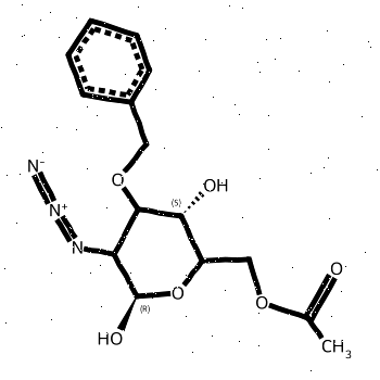 CC(=O)OCC1O[C@@H](O)C(N=[N+]=[N-])C(OCc2ccccc2)[C@@H]1O